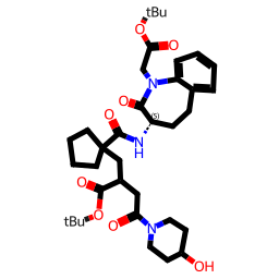 CC(C)(C)OC(=O)CN1C(=O)[C@@H](NC(=O)C2(CC(CC(=O)N3CCC(O)CC3)C(=O)OC(C)(C)C)CCCC2)CCc2ccccc21